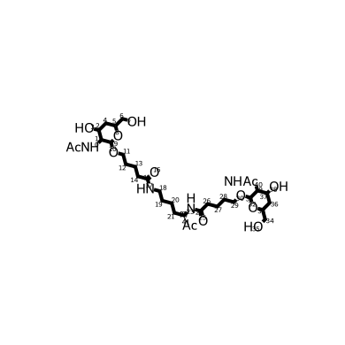 CC(=O)NC1C(O)CC(CO)OC1OCCCCC(=O)NCCCC[C@H](NC(=O)CCCCOC1OC(CO)CC(O)C1NC(C)=O)C(C)=O